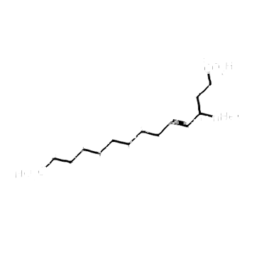 CCCCCCC(/C=C/CCCCCCCCC(=O)O)CCC(=O)O